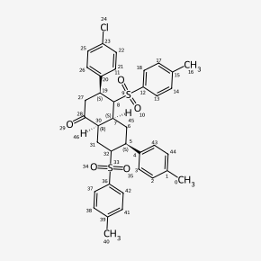 Cc1ccc([C@@H]2C[C@@H]3C(S(=O)(=O)c4ccc(C)cc4)[C@H](c4ccc(Cl)cc4)CC(=O)[C@@H]3CC2S(=O)(=O)c2ccc(C)cc2)cc1